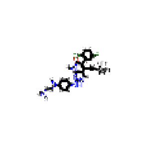 CC(C)[Si](C#Cc1c(-c2cc(F)ccc2Cl)c(=O)n(C)c2nc(Nc3ccc(N(C)CCN(C)C)cc3)ncc12)(C(C)C)C(C)C